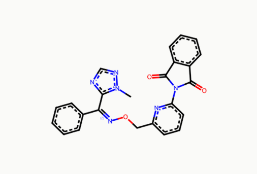 Cn1ncnc1/C(=N\OCc1cccc(N2C(=O)c3ccccc3C2=O)n1)c1ccccc1